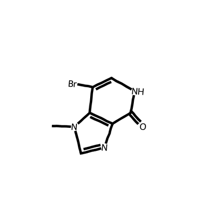 Cn1cnc2c(=O)[nH]cc(Br)c21